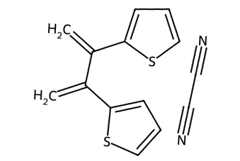 C=C(C(=C)c1cccs1)c1cccs1.N#CC#N